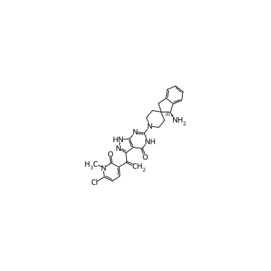 C=C(c1ccc(Cl)n(C)c1=O)c1n[nH]c2nc(N3CCC4(CC3)Cc3ccccc3[C@H]4N)[nH]c(=O)c12